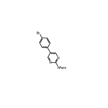 CCCCCc1ncc(-c2ccc(Br)cc2)cn1